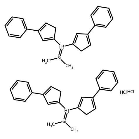 C[Si](C)=[Hf]([C]1=CC(c2ccccc2)=CC1)[C]1=CC(c2ccccc2)=CC1.C[Si](C)=[Hf]([C]1=CC(c2ccccc2)=CC1)[C]1=CC(c2ccccc2)=CC1.Cl.Cl